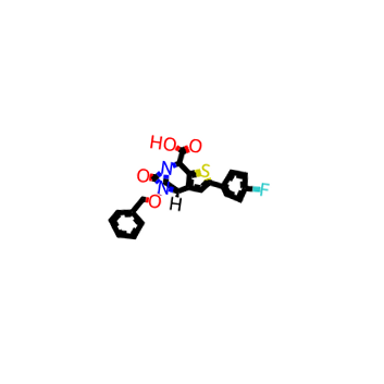 O=C(O)C1c2sc(-c3ccc(F)cc3)cc2[C@H]2CN1C(=O)N2OCc1ccccc1